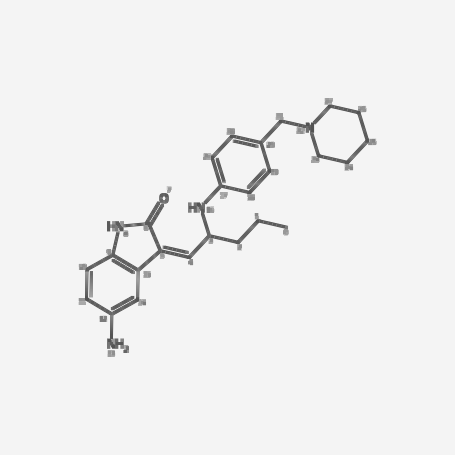 CCCC(C=C1C(=O)Nc2ccc(N)cc21)Nc1ccc(CN2CCCCC2)cc1